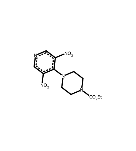 CCOC(=O)N1CCN(c2c([N+](=O)[O-])cncc2[N+](=O)[O-])CC1